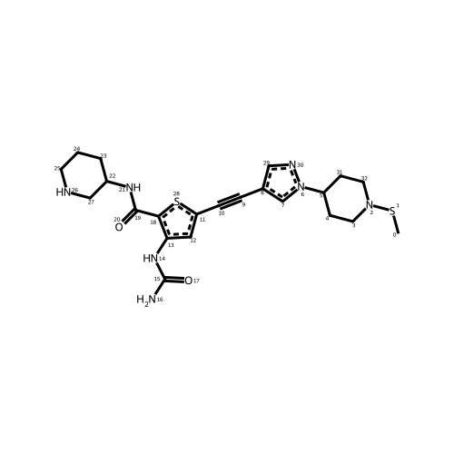 CSN1CCC(n2cc(C#Cc3cc(NC(N)=O)c(C(=O)NC4CCCNC4)s3)cn2)CC1